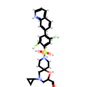 O=CC1CN(C2CC2)CC2(CCN(S(=O)(=O)c3cc(F)c(-c4ccc5cccnc5c4)cc3F)CC2)O1